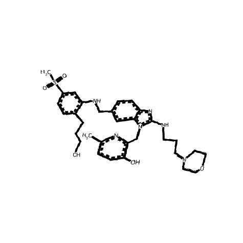 Cc1ccc(O)c(Cn2c(NCCCN3CCOCC3)nc3ccc(CNc4cc(S(C)(=O)=O)ccc4CCCO)cc32)n1